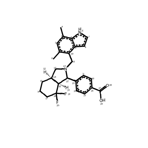 Cc1cc(C)c2[nH]ccc2c1CN1C[C@@H]2CCCC(F)(F)[C@@H]2C1c1ccc(C(=O)O)cc1